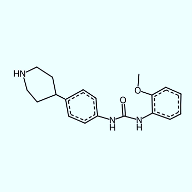 COc1ccccc1NC(=O)Nc1ccc(C2CCNCC2)cc1